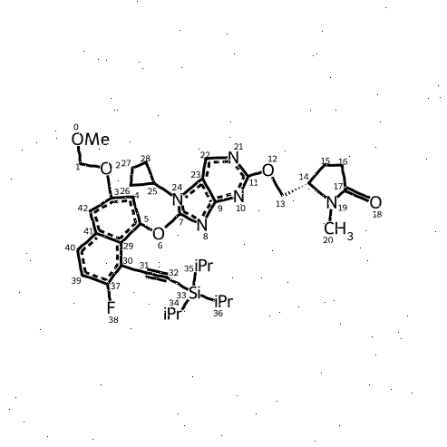 COCOc1cc(Oc2nc3nc(OC[C@@H]4CCC(=O)N4C)ncc3n2C2CCC2)c2c(C#C[Si](C(C)C)(C(C)C)C(C)C)c(F)ccc2c1